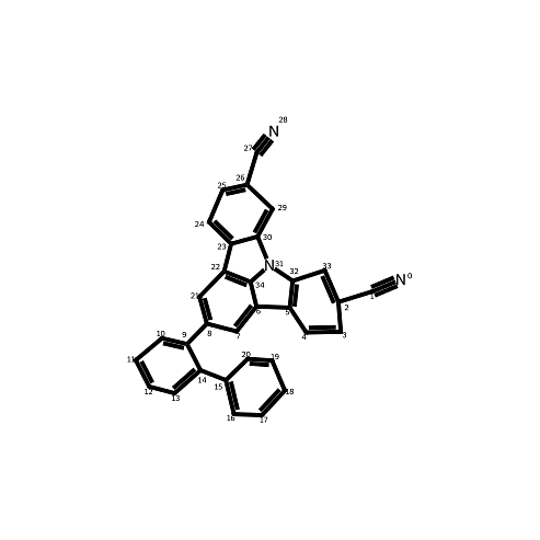 N#Cc1ccc2c3cc(-c4ccccc4-c4ccccc4)cc4c5ccc(C#N)cc5n(c2c1)c34